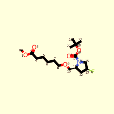 COC(=O)CCCCCOC[C@@H]1C[C@H](F)CN1C(=O)OC(C)(C)C